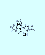 C[C@H](CO)N1C(c2ccc(C(C)(C)C)cc2)=C2C=CCN2c2ccccc21